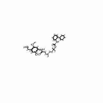 COc1cc(NC(=O)CCN(C)CCC(C)(C)OC(=O)Nc2ccccc2-c2ccccc2)c(Cl)cc1CO